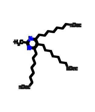 [CH2]c1nc(CCCCCCCCCCCCCCCCC)c(CCCCCCCCCCCCCCCCC)c(CCCCCCCCCCCCCCCCC)n1